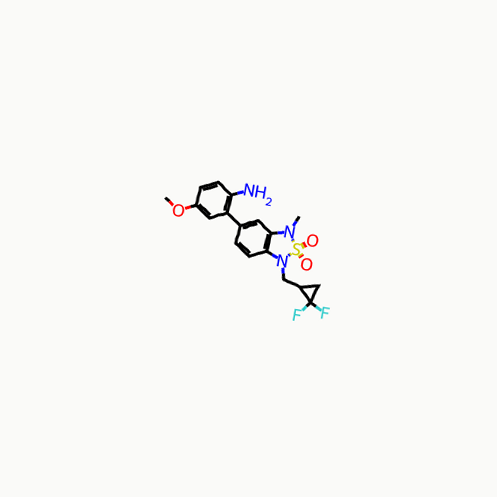 COc1ccc(N)c(-c2ccc3c(c2)N(C)S(=O)(=O)N3CC2CC2(F)F)c1